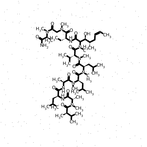 C/C=C\C[C@H](C)[C@H](O)C(C(=O)N[C@H](CC)C(=O)N(C)CC(=O)N(C)[C@@H](C)C(N)=O)N(C)C(=O)[C@@H](C(C)C)N(C)C(=O)[C@@H](CC(C)C)N(C)C(=O)[C@@H](CC(C)C)N(C)C(=O)[C@H](C)NC(=O)[C@H](CC(C)C)NC(=O)[C@H](C)N(C)C(=O)[C@H](C)C(C)C